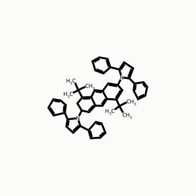 CC(C)(C)C1=c2cc3cc(-n4c(-c5ccccc5)ccc4-c4ccccc4)cc(C(C)(C)C)c3cc2=CC(n2c(-c3ccccc3)ccc2-c2ccccc2)C1